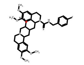 CCC1CN2CCc3cc(OC)c(OC)cc3C2CC1CC1c2cc(OC)c(OC)cc2CCN1C(=S)NCc1ccc(F)cc1